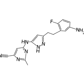 Cc1nc(C#N)cc(Nc2cc(CCc3cc(N)ccc3F)n[nH]2)n1